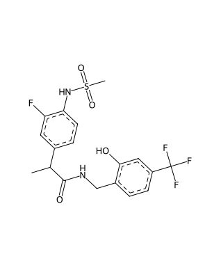 CC(C(=O)NCc1ccc(C(F)(F)F)cc1O)c1ccc(NS(C)(=O)=O)c(F)c1